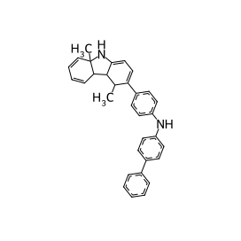 CC1C(c2ccc(Nc3ccc(-c4ccccc4)cc3)cc2)=CC=C2NC3(C)C=CC=CC3C21